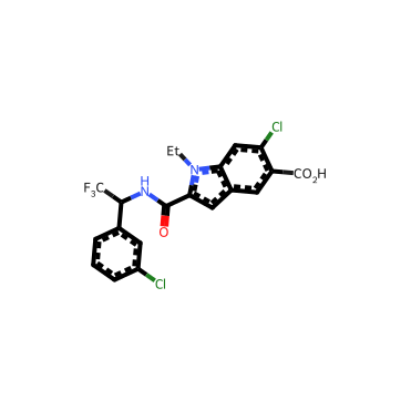 CCn1c(C(=O)NC(c2cccc(Cl)c2)C(F)(F)F)cc2cc(C(=O)O)c(Cl)cc21